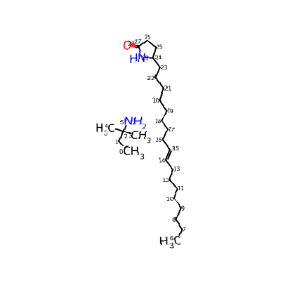 CCC(C)(C)N.CCCCCCCCC=CCCCCCCCCC1CCC(=O)N1